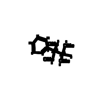 CO[Si](C)(OC)[Si](OC)(OC)c1ccccc1